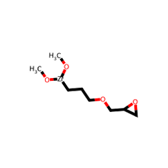 C[O][Zr]([CH2]CCOCC1CO1)[O]C